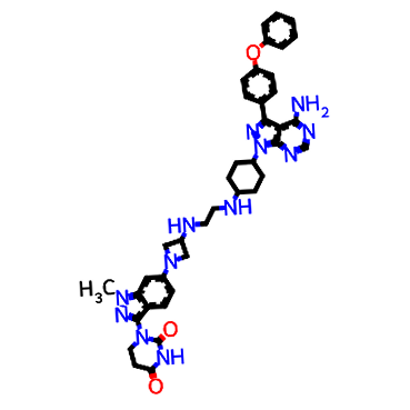 Cn1nc(N2CCC(=O)NC2=O)c2ccc(N3CC(NCCNC4CCC(n5nc(-c6ccc(Oc7ccccc7)cc6)c6c(N)ncnc65)CC4)C3)cc21